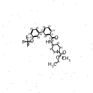 CCOP(C)(=O)N1CCC(NC(=O)c2cccc(-c3cccc(OC(F)(F)F)c3)c2)CC1